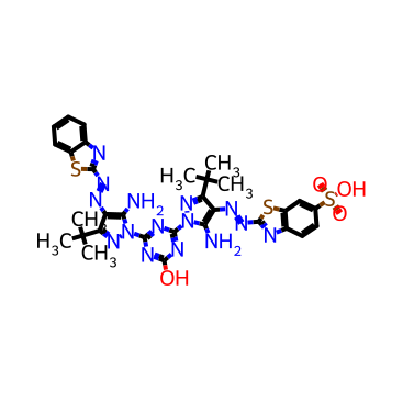 CC(C)(C)c1nn(-c2nc(O)nc(-n3nc(C(C)(C)C)c(N=Nc4nc5ccc(S(=O)(=O)O)cc5s4)c3N)n2)c(N)c1N=Nc1nc2ccccc2s1